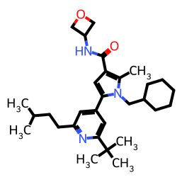 Cc1c(C(=O)NC2COC2)cc(-c2cc(CCC(C)C)nc(C(C)(C)C)c2)n1CC1CCCCC1